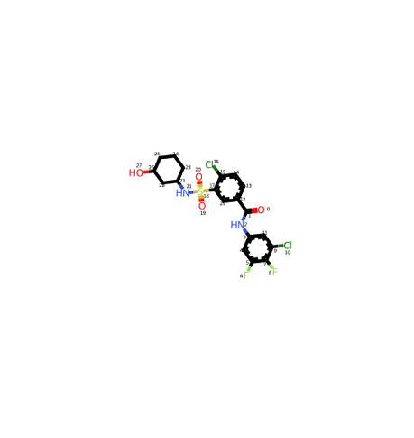 O=C(Nc1cc(F)c(F)c(Cl)c1)c1ccc(Cl)c(S(=O)(=O)NC2CCCC(O)C2)c1